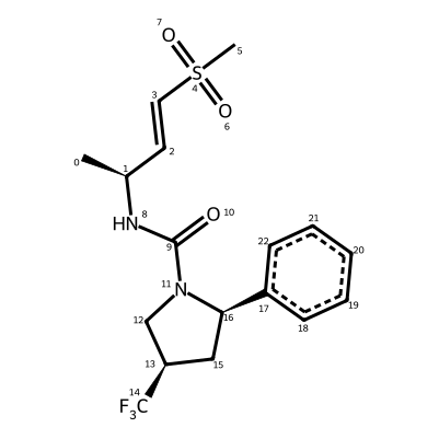 C[C@@H](/C=C/S(C)(=O)=O)NC(=O)N1C[C@H](C(F)(F)F)C[C@@H]1c1ccccc1